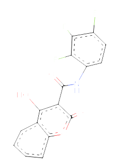 O=C(Nc1ccc(F)c(F)c1F)c1c(O)c2ccccc2oc1=O